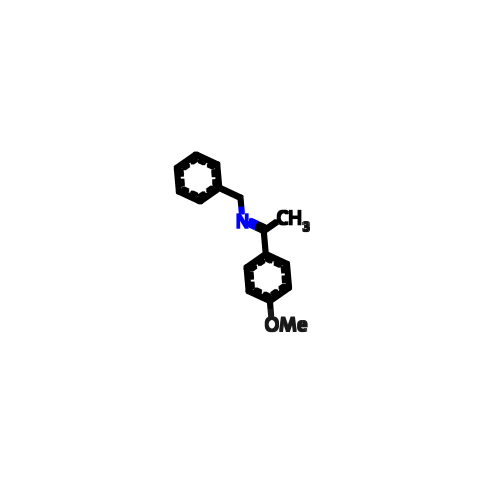 COc1ccc(C(C)=NCc2ccccc2)cc1